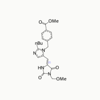 CCCCc1ncc(/C=C2\NC(=O)N(COC)C2=O)n1Cc1ccc(C(=O)OC)cc1